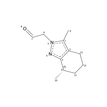 Cc1c2c(nn1CC=O)[C@@H](C)CCC2